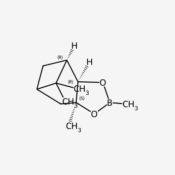 CB1O[C@@H]2[C@@H]3CC(C[C@]2(C)O1)C3(C)C